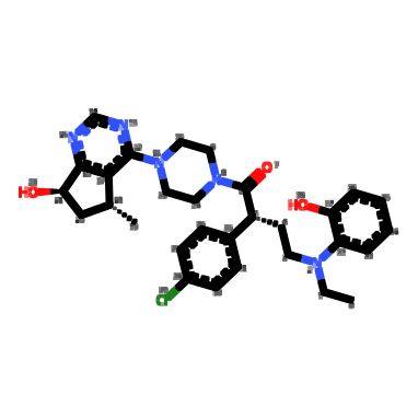 CCN(CC[C@@H](C(=O)N1CCN(c2ncnc3c2[C@H](C)C[C@H]3O)CC1)c1ccc(Cl)cc1)c1ccccc1O